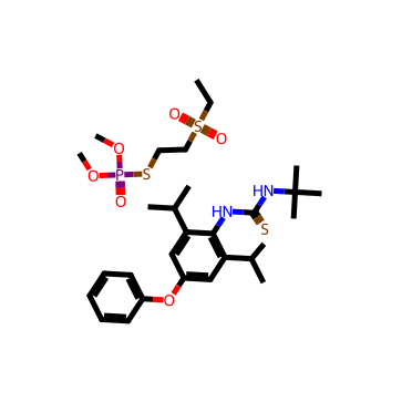 CC(C)c1cc(Oc2ccccc2)cc(C(C)C)c1NC(=S)NC(C)(C)C.CCS(=O)(=O)CCSP(=O)(OC)OC